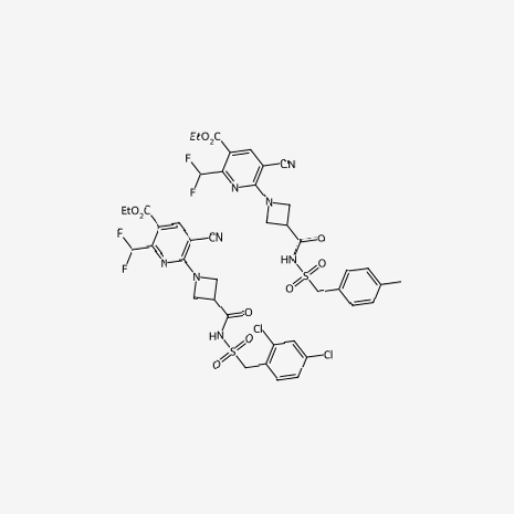 CCOC(=O)c1cc(C#N)c(N2CC(C(=O)NS(=O)(=O)Cc3ccc(C)cc3)C2)nc1C(F)F.CCOC(=O)c1cc(C#N)c(N2CC(C(=O)NS(=O)(=O)Cc3ccc(Cl)cc3Cl)C2)nc1C(F)F